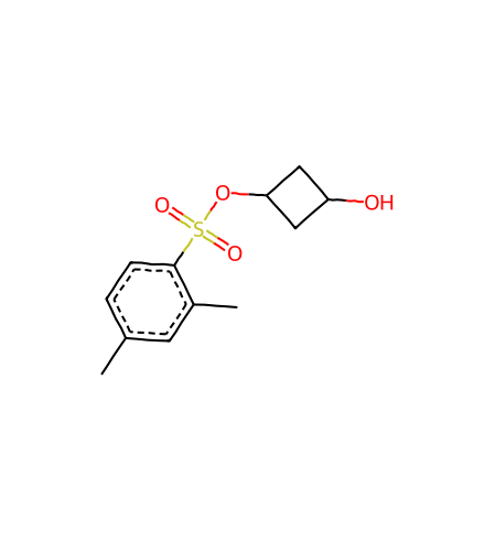 Cc1ccc(S(=O)(=O)OC2CC(O)C2)c(C)c1